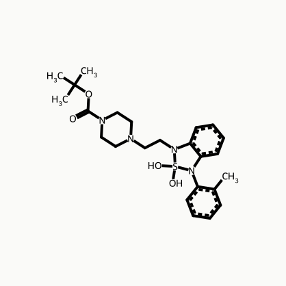 Cc1ccccc1N1c2ccccc2N(CCN2CCN(C(=O)OC(C)(C)C)CC2)S1(O)O